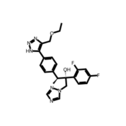 CCOCc1nn[nH]c1-c1ccc([C@H](C)[C@](O)(Cn2cncn2)c2ccc(F)cc2F)cc1